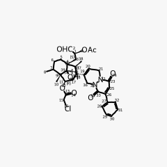 CC(=O)O[C@H](C=O)C[C@@]12CCC(C)[C@@](C)([C@H](OC(=O)CCl)C[C@@H](C3=CCn4c(=O)cc(-c5ccccc5)c(=O)n4C3)[C@@H]1C)[C@H]2O